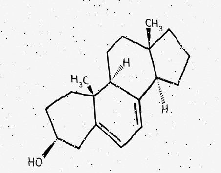 C[C@@]12CCC[C@H]1C1=CC=C3C[C@@H](O)CC[C@]3(C)[C@H]1CC2